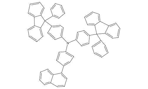 c1ccc(C2(c3ccc(N(c4ccc(-c5cccc6ccccc56)cc4)c4ccc(C5(c6ccccc6)c6ccccc6-c6ccccc65)cc4)cc3)c3ccccc3-c3ccccc32)cc1